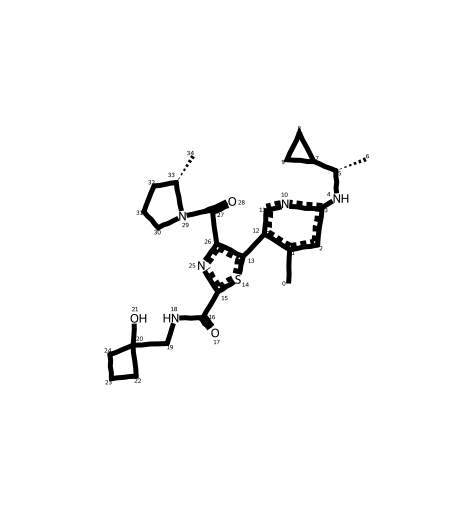 Cc1cc(N[C@@H](C)C2CC2)ncc1-c1sc(C(=O)NCC2(O)CCC2)nc1C(=O)N1CCC[C@@H]1C